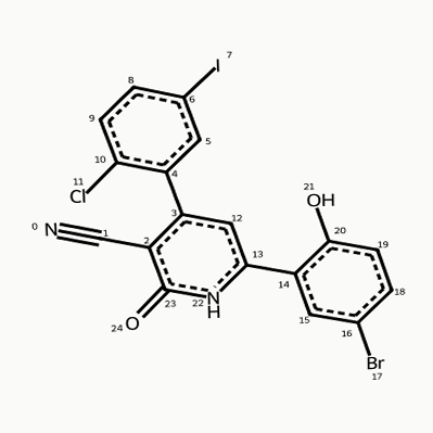 N#Cc1c(-c2cc(I)ccc2Cl)cc(-c2cc(Br)ccc2O)[nH]c1=O